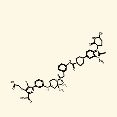 Cn1c(=O)n(C2CCC(O)NC2=O)c2ccc(C3CCN(C(=O)Nc4cccc(CS(=O)(=O)N5CC[C@H](Nc6cccc(-c7sc(C(=O)O)c(OCC(=O)O)c7Cl)c6)CC5(C)C)c4)CC3)cc21